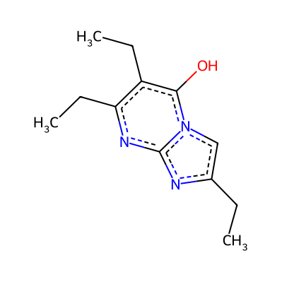 CCc1cn2c(O)c(CC)c(CC)nc2n1